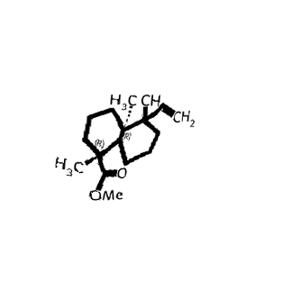 C=CC1(C)CCCC2[C@](C)(C(=O)OC)CCC[C@]21C